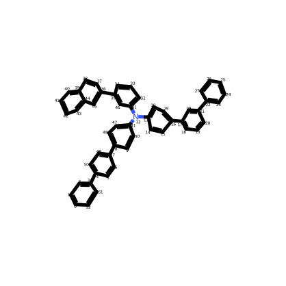 c1ccc(-c2ccc(-c3ccc(N(c4ccc(-c5cccc(-c6ccccc6)c5)cc4)c4cccc(-c5ccc6ccccc6c5)c4)cc3)cc2)cc1